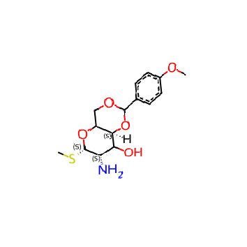 COc1ccc(C2OCC3O[C@@H](SC)[C@@H](N)C(O)[C@@H]3O2)cc1